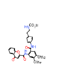 COc1cc(NC(=O)c2cc(=O)c3ccccc3o2)c(C(=O)Nc2ccc(CCNC(=O)O)cc2)cc1OC